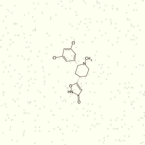 CN1CC[C@H](c2cc(=O)[nH]o2)C[C@@H]1c1cc(Cl)cc(Cl)c1